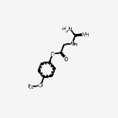 CCOc1ccc(OC(=O)CNC(=N)N)cc1